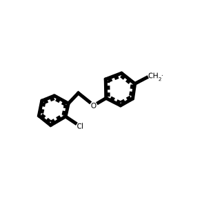 [CH2]c1ccc(OCc2ccccc2Cl)cc1